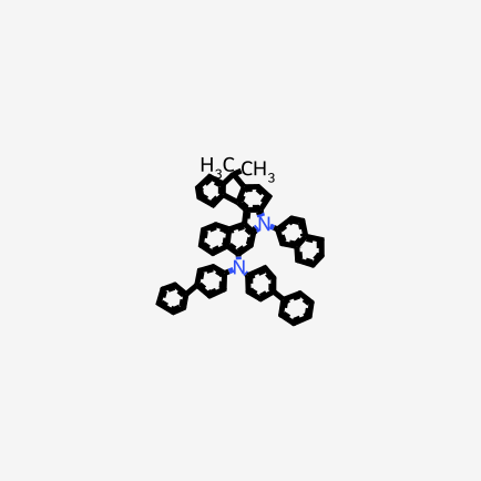 CC1(C)c2ccccc2-c2c1ccc1c2c2c3ccccc3c(N(c3ccc(-c4ccccc4)cc3)c3ccc(-c4ccccc4)cc3)cc2n1-c1ccc2ccccc2c1